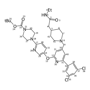 CCNC(=O)CC1CCN(Cc2cc(Oc3ccc(N4CCN(C(=O)OC(C)(C)C)CC4)nc3)nc(-c3cc(Cl)cc(Cl)c3)c2)CC1